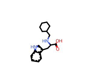 O=C(O)C(Cc1c[nH]c2ccccc12)NCC1CCCCC1